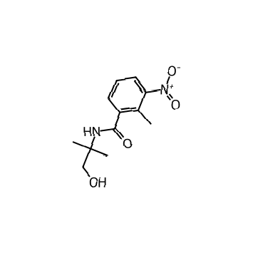 Cc1c(C(=O)NC(C)(C)CO)cccc1[N+](=O)[O-]